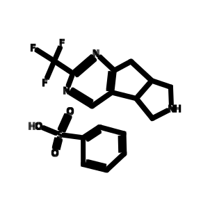 FC(F)(F)c1ncc2c(n1)CC1CNCC21.O=S(=O)(O)c1ccccc1